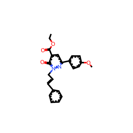 CCOC(=O)c1cc(-c2ccc(OC)cc2)nn(CC=Cc2ccccc2)c1=O